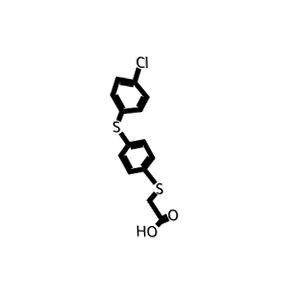 O=C(O)CSc1ccc(Sc2ccc(Cl)cc2)cc1